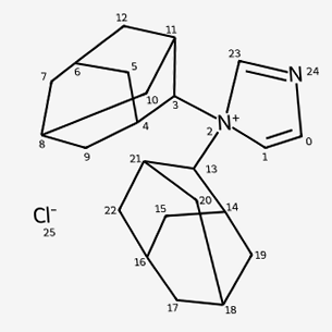 C1=C[N+](C2C3CC4CC(C3)CC2C4)(C2C3CC4CC(C3)CC2C4)C=N1.[Cl-]